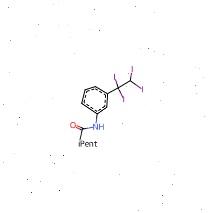 CCCC(C)C(=O)Nc1cccc(C(I)(I)C(I)I)c1